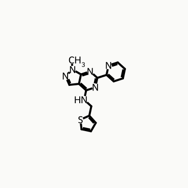 Cn1ncc2c(NCc3cccs3)nc(-c3ccccn3)nc21